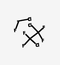 FC(F)(Cl)C(F)(F)Cl.F[C]Cl